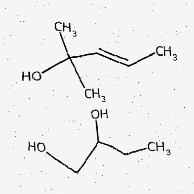 CC=CC(C)(C)O.CCC(O)CO